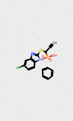 C#CC(Sc1nc2cc(Cl)ccc2[nH]1)P(=O)(O)O.c1ccccc1